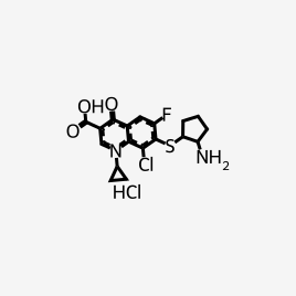 Cl.NC1CCCC1Sc1c(F)cc2c(=O)c(C(=O)O)cn(C3CC3)c2c1Cl